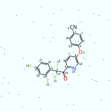 N#Cc1ccc(Oc2ccc(C(=O)C(F)(F)c3ccc(F)cc3F)nc2)cc1